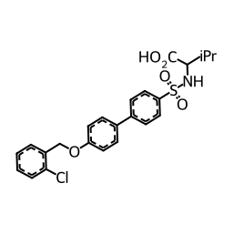 CC(C)C(NS(=O)(=O)c1ccc(-c2ccc(OCc3ccccc3Cl)cc2)cc1)C(=O)O